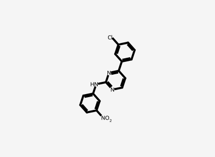 O=[N+]([O-])c1cccc(Nc2nccc(-c3cccc(Cl)c3)n2)c1